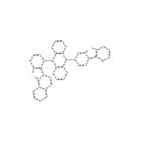 c1ccc2c(c1)ccc1c2oc2cccc(-c3c4ccccc4c(-c4ccc5c(c4)oc4ccccc45)c4ccccc34)c21